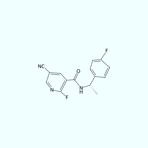 C[C@H](NC(=O)c1cc(C#N)cnc1F)c1ccc(F)cc1